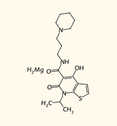 CC(C)n1c(=O)c(C(=O)NCCCN2CCCCC2)c(O)c2ccsc21.[MgH2]